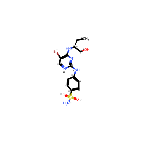 CC[C@@H](CO)Nc1nc(Nc2ccc(S(N)(=O)=O)cc2)ncc1Br